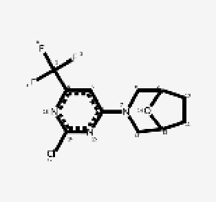 FC(F)(F)c1cc(N2CC3CCC(C2)O3)nc(Cl)n1